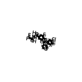 O=C(NNC(=O)C(F)F)c1ccc(CN(C(=O)N2CCOCC2)c2ccc(F)c(Cl)c2)c(F)c1